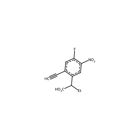 C#Cc1cc(F)c([N+](=O)[O-])cc1C(CC)C(=O)O